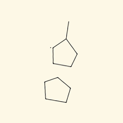 C1CCCC1.CC1[CH]CCC1